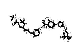 CC(C)(C)OC(=O)N1CC(CCNc2cccc(SNC(=O)c3ccc(-n4ccc(OCCC5(C(F)(F)F)CC5)n4)nc3Cl)n2)CC1(C)C